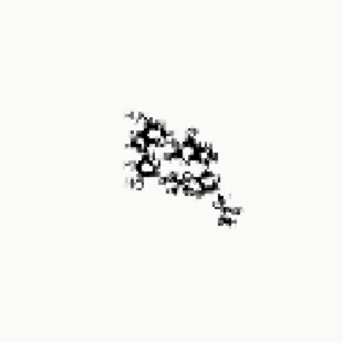 Nc1nc2c(nnn2[C@@H]2O[C@H](CO[PH](O)=S)[C@H](F)[C@H]2OP(O)(=S)OC[C@H]2O[C@@H](n3cnc4c(N)ncnc43)[C@@H](F)[C@@H]2O)c(=O)[nH]1